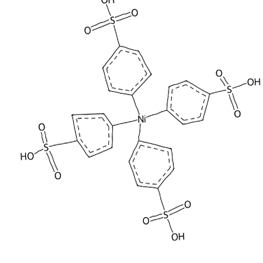 O=S(=O)(O)c1cc[c]([Ni]([c]2ccc(S(=O)(=O)O)cc2)([c]2ccc(S(=O)(=O)O)cc2)[c]2ccc(S(=O)(=O)O)cc2)cc1